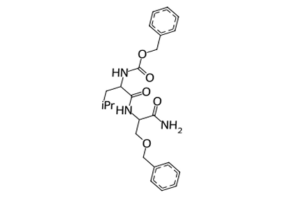 CC(C)CC(NC(=O)OCc1ccccc1)C(=O)NC(COCc1ccccc1)C(N)=O